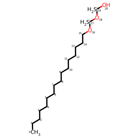 CCCCCCCCCCCCCCCCO[SiH2]O[SiH2]O